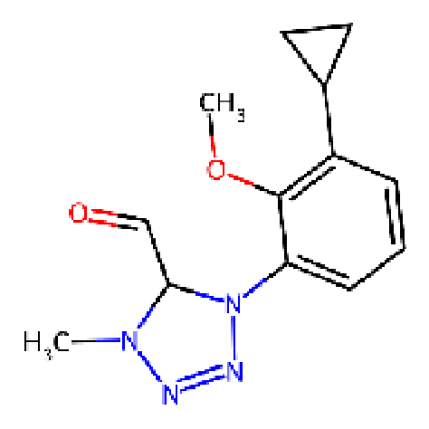 COc1c(C2CC2)cccc1N1N=NN(C)C1C=O